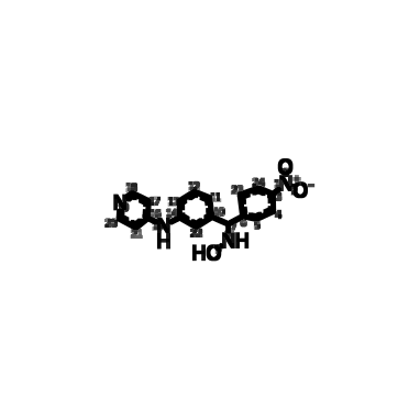 O=[N+]([O-])c1ccc(C(NO)c2cccc(Nc3ccncc3)c2)cc1